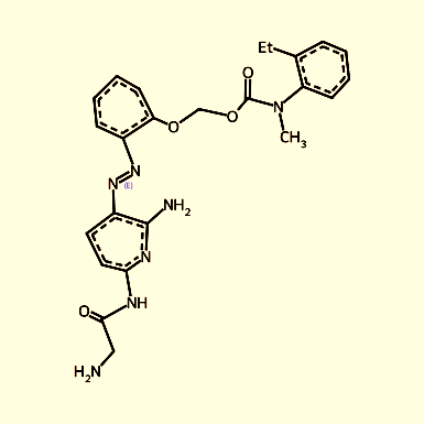 CCc1ccccc1N(C)C(=O)OCOc1ccccc1/N=N/c1ccc(NC(=O)CN)nc1N